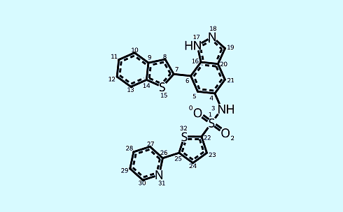 O=S(=O)(Nc1cc(-c2cc3ccccc3s2)c2[nH]ncc2c1)c1ccc(-c2ccccn2)s1